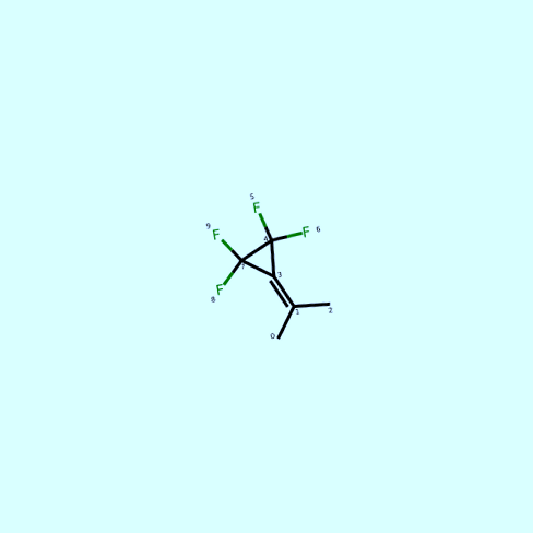 CC(C)=C1C(F)(F)C1(F)F